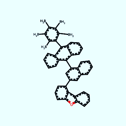 Bc1c(B)c(B)c(-c2c3ccccc3c(-c3cc(-c4cccc5oc6ccccc6c45)cc4ccccc34)c3ccccc23)c(B)c1B